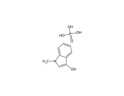 Cn1cc(O)c2ccccc21.O=P(O)(O)O